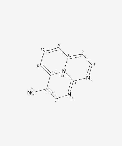 N#CC1=CN=C2N=CC=C3C=CC=C1N32